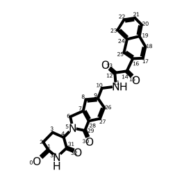 O=C1CCC(N2Cc3cc(CNC(=O)C(=O)c4ccc5ccccc5c4)ccc3C2=O)C(=O)N1